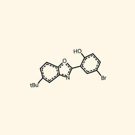 CC(C)(C)c1ccc2oc(-c3cc(Br)ccc3O)nc2c1